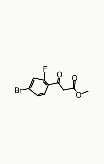 COC(=O)CC(=O)c1ccc(Br)cc1F